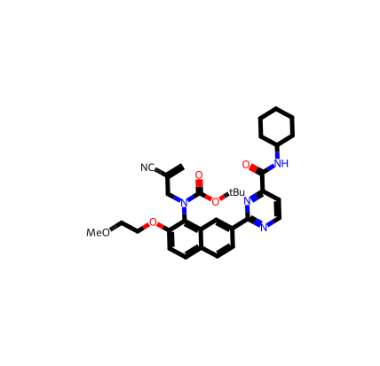 C=C(C#N)CN(C(=O)OC(C)(C)C)c1c(OCCOC)ccc2ccc(-c3nccc(C(=O)NC4CCCCC4)n3)cc12